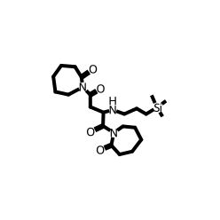 C[Si](C)(C)CCCNC(CC(=O)N1CCCCCC1=O)C(=O)N1CCCCCC1=O